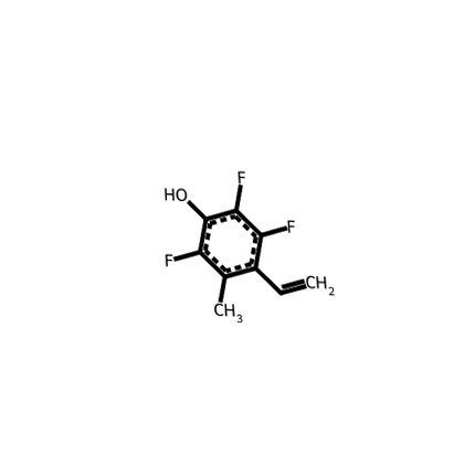 C=Cc1c(C)c(F)c(O)c(F)c1F